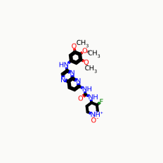 COc1cc(Nc2cnc3ccc(NC(=O)NC4CC[NH+]([O-])CC4F)nc3n2)cc(OC)c1OC